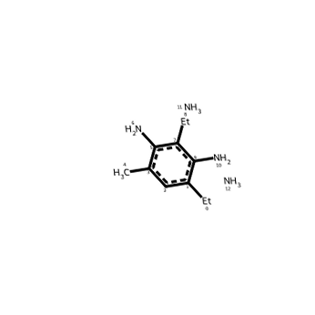 CCc1cc(C)c(N)c(CC)c1N.N.N